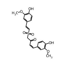 COc1cc(/C=C\C(=O)CS(=O)(=O)/C=C/c2ccc(O)c(OC)c2)ccc1O